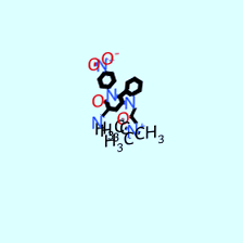 COC(Cn1c2ccccc2c2c1cc(C#N)c(=O)n2-c1ccc([N+](=O)[O-])cc1)C[N+](C)(C)C